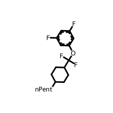 CCCCCC1CCC(C(F)(F)Oc2cc(F)cc(F)c2)CC1